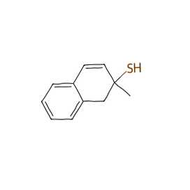 CC1(S)C=Cc2ccccc2C1